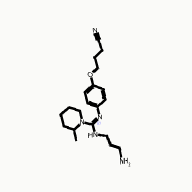 CC1CCCCN1/C(=N\c1ccc(OCCCC#N)cc1)NCCCN